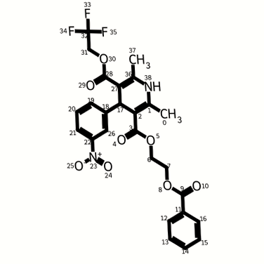 CC1=C(C(=O)OCCOC(=O)c2ccccc2)C(c2cccc([N+](=O)[O-])c2)C(C(=O)OCC(F)(F)F)=C(C)N1